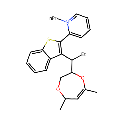 CCC[n+]1ccccc1-c1sc2ccccc2c1C(CC)C1COC(C)C=C(C)O1